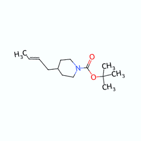 CC=CCC1CCN(C(=O)OC(C)(C)C)CC1